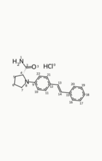 Cl.NC(=O)[C@H]1CCCN1c1ccc(/C=C/c2ccccc2)cc1